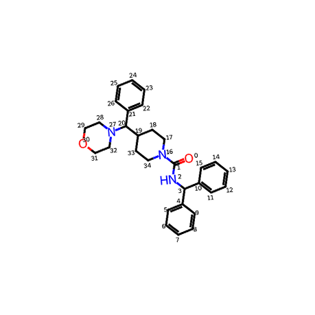 O=C(NC(c1ccccc1)c1ccccc1)N1CCC(C(c2ccccc2)N2CCOCC2)CC1